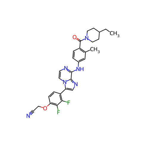 CCC1CCN(C(=O)c2ccc(Nc3nccn4c(-c5ccc(OCC#N)c(F)c5F)cnc34)cc2C)CC1